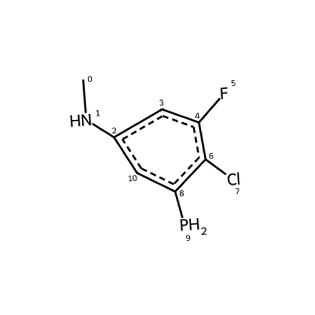 CNc1cc(F)c(Cl)c(P)c1